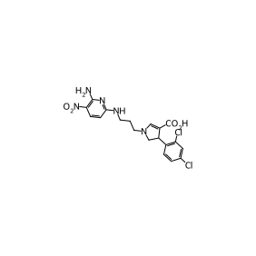 Nc1nc(NCCCN2C=C(C(=O)O)C(c3ccc(Cl)cc3Cl)C2)ccc1[N+](=O)[O-]